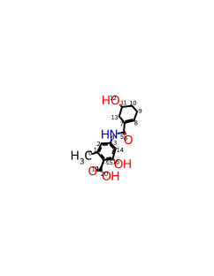 Cc1cc(NC(=O)C2=CCCC(O)C2)cc(O)c1C(=O)O